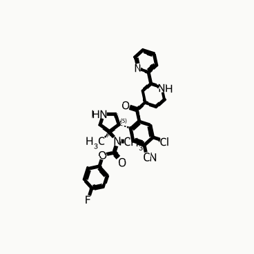 CN(C(=O)Oc1ccc(F)cc1)[C@@]1(C)CNC[C@@H]1c1cc(C#N)c(Cl)cc1C(=O)C1CCNC(c2ccccn2)C1